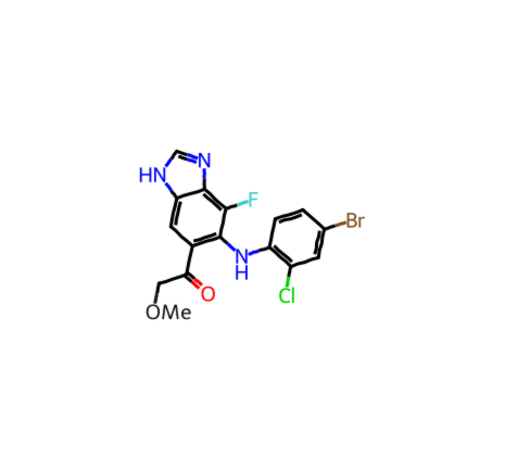 COCC(=O)c1cc2[nH]cnc2c(F)c1Nc1ccc(Br)cc1Cl